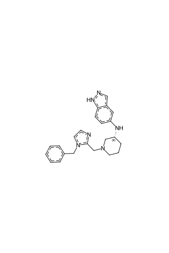 c1ccc(Cn2ccnc2CN2CCC[C@@H](Nc3ccc4[nH]ncc4c3)C2)cc1